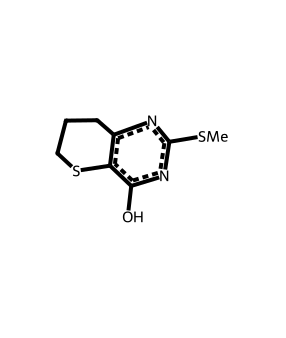 CSc1nc(O)c2c(n1)CCCS2